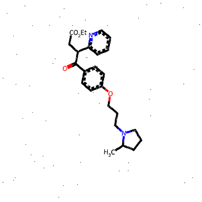 CCOC(=O)CC(C(=O)c1ccc(OCCCN2CCCC2C)cc1)c1ccccn1